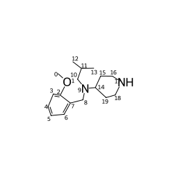 COc1ccccc1CN(CC(C)C)C1CCNCC1